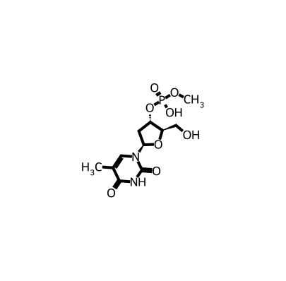 COP(=O)(O)O[C@H]1C[C@H](n2cc(C)c(=O)[nH]c2=O)O[C@@H]1CO